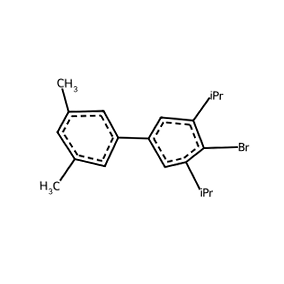 Cc1cc(C)cc(-c2cc(C(C)C)c(Br)c(C(C)C)c2)c1